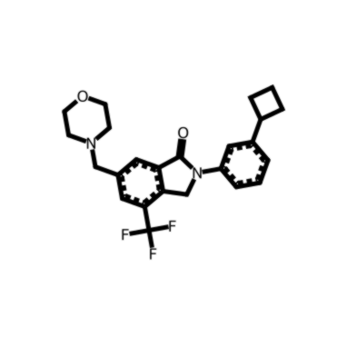 O=C1c2cc(CN3CCOCC3)cc(C(F)(F)F)c2CN1c1cccc(C2CCC2)c1